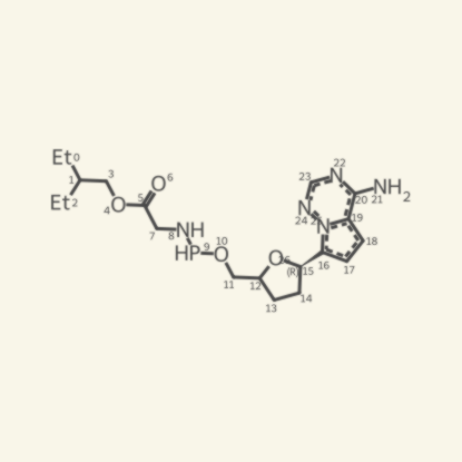 CCC(CC)COC(=O)CNPOCC1CC[C@H](c2ccc3c(N)ncnn23)O1